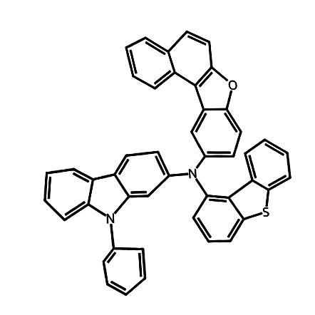 c1ccc(-n2c3ccccc3c3ccc(N(c4ccc5oc6ccc7ccccc7c6c5c4)c4cccc5sc6ccccc6c45)cc32)cc1